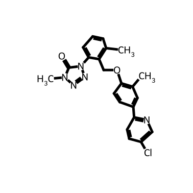 Cc1cc(-c2ccc(Cl)cn2)ccc1OCc1c(C)cccc1-n1nnn(C)c1=O